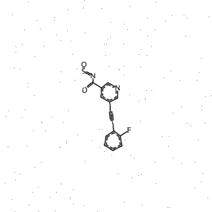 O=S=NC(=O)c1cncc(C#Cc2ccccc2F)c1